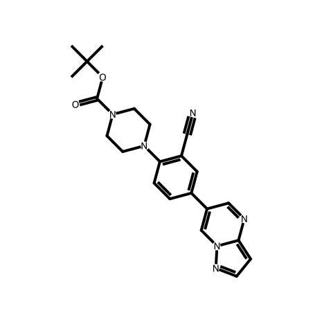 CC(C)(C)OC(=O)N1CCN(c2ccc(-c3cnc4ccnn4c3)cc2C#N)CC1